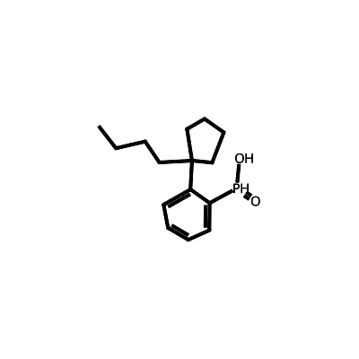 CCCCC1(c2ccccc2[PH](=O)O)CCCC1